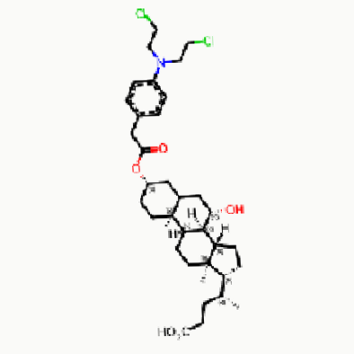 C[C@H](CCC(=O)O)[C@H]1CC[C@H]2[C@@H]3[C@@H](O)CC4C[C@@H](OC(=O)Cc5ccc(N(CCCl)CCCl)cc5)CC[C@]4(C)[C@H]3CC[C@]12C